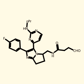 CCCNc1nccc(-c2c(-c3ccc(F)cc3)nc3n2C(CNC(=O)CCC=O)CC3)n1